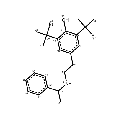 CCC(C)(C)c1cc(CCNC(C)c2ccccc2)cc(C(C)(C)CC)c1O